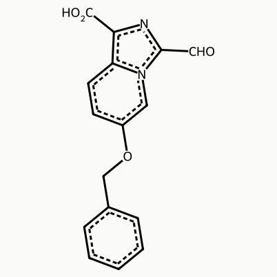 O=Cc1nc(C(=O)O)c2ccc(OCc3ccccc3)cn12